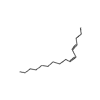 [CH2]CC/C=C/C=C\CCCCCCCCC